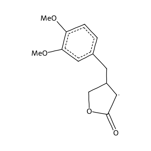 COc1ccc(CC2[CH]C(=O)OC2)cc1OC